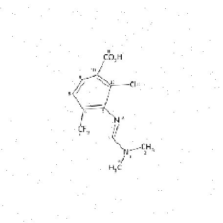 CN(C)C=Nc1c(C(F)(F)F)ccc(C(=O)O)c1Cl